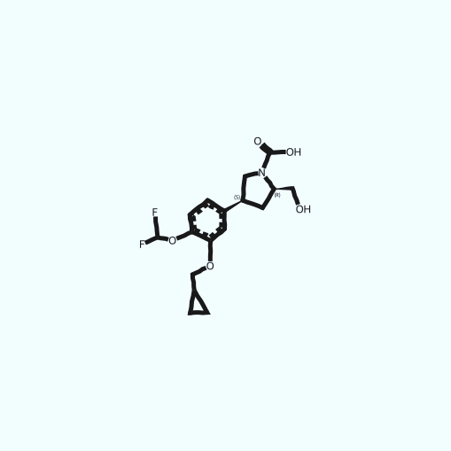 O=C(O)N1C[C@H](c2ccc(OC(F)F)c(OCC3CC3)c2)C[C@@H]1CO